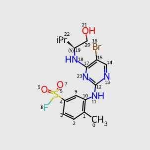 Cc1ccc(S(=O)(=O)F)cc1Nc1ncc(Br)c(N[C@H](CO)C(C)C)n1